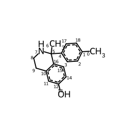 Cc1ccc(C2(C)NCCc3cc(O)ccc32)cc1